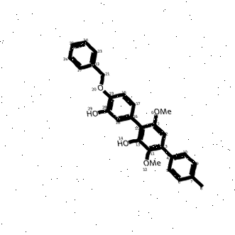 COc1cc(-c2ccc(C)cc2)c(OC)c(O)c1-c1ccc(OCc2ccccc2)c(O)c1